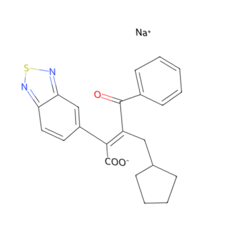 O=C([O-])C(=C(CC1CCCC1)C(=O)c1ccccc1)c1ccc2nsnc2c1.[Na+]